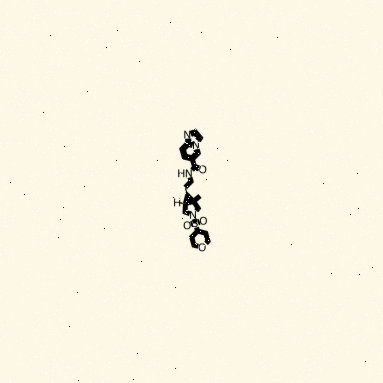 CC12CN(S(=O)(=O)C3CCOCC3)C[C@H]1[C@@H]2CCNC(=O)c1ccc2nccn2c1